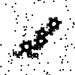 Nc1ncnc(Nc2ccc3c(cnn3Cc3ccccc3)c2)c1C=O